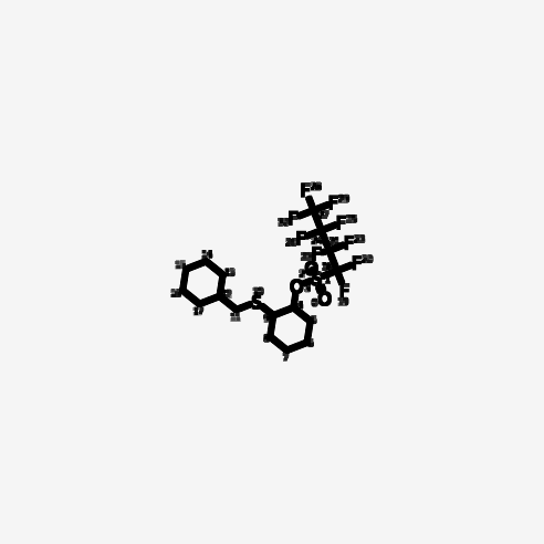 O=S(=O)(OC1CCCCC1SCC1CCCCC1)C(F)(F)C(F)(F)C(F)(F)C(F)(F)F